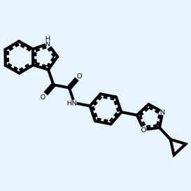 O=C(Nc1ccc(-c2cnc(C3CC3)o2)cc1)C(=O)c1c[nH]c2ccccc12